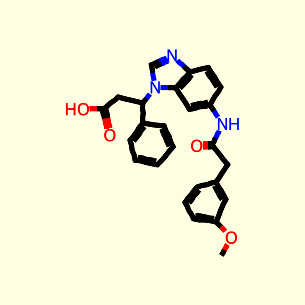 COc1cccc(CC(=O)Nc2ccc3ncn(C(CC(=O)O)c4ccccc4)c3c2)c1